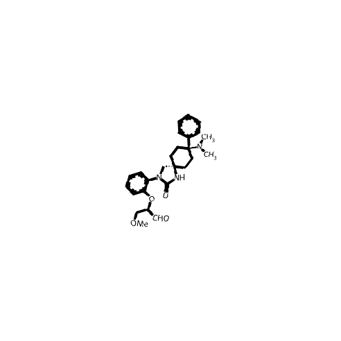 COCC(C=O)Oc1ccccc1N1C[C@]2(CC[C@](c3ccccc3)(N(C)C)CC2)NC1=O